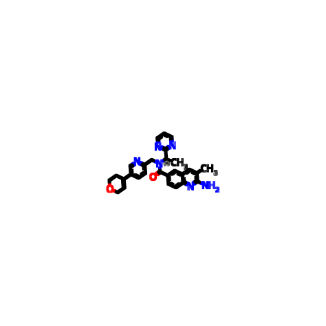 Cc1cc2cc(C(=O)N(Cc3ccc(C4=CCOCC4)cn3)[C@H](C)c3ncccn3)ccc2nc1N